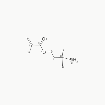 C=C(C)C(=O)OCCC(C)(C)[SiH3]